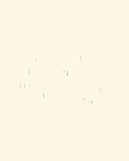 CCCCCC(C)N(C(=O)CC(C)(C)CC)c1ccc(F)c(C)c1